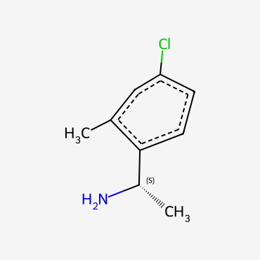 Cc1cc(Cl)ccc1[C@H](C)N